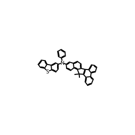 CC1(C)c2c(ccc3cc(N(c4ccccc4)c4ccc5sc6ccccc6c5c4)ccc23)-c2c1c1ccccc1c1ccccc21